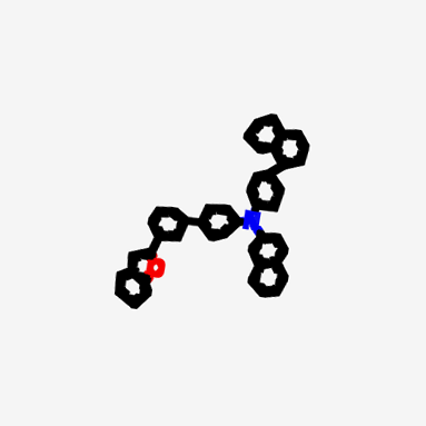 c1cc(-c2ccc(N(c3ccc(-c4cccc5ccccc45)cc3)c3ccc4ccccc4c3)cc2)cc(-c2cc3ccccc3o2)c1